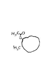 CC(=O)O/C1=C/[C@@H](C)CCCCCCCCCCCC1